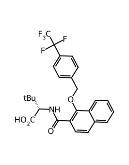 CC(C)(C)[C@H](NC(=O)c1ccc2ccccc2c1OCc1ccc(C(F)(F)C(F)(F)F)cc1)C(=O)O